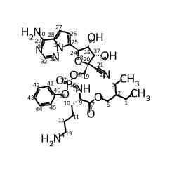 CCC(CC)COC(=O)[C@H](CCCCN)NP(=O)(OC[C@@]1(C#N)O[C@@H](c2ccc3c(N)ncnn23)[C@H](O)[C@@H]1O)Oc1ccccc1